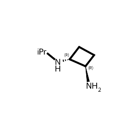 CC(C)N[C@@H]1CC[C@H]1N